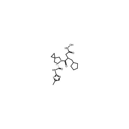 Cc1cnc(NC(=O)[C@@H]2CC3(CC3)CN2C(=O)C(CC(=O)NO)CC2CCCC2)s1